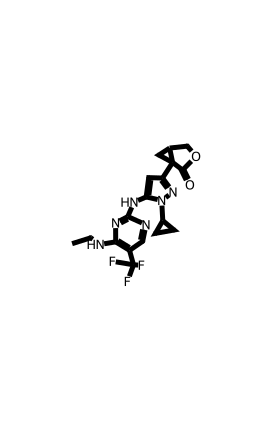 CCNc1nc(Nc2cc(C34CC3COC4=O)nn2C2CC2)ncc1C(F)(F)F